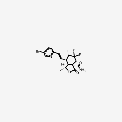 C[C@H]1OC(=O)[C@]2(C(N)=O)CC(F)(F)[C@@H](C)[C@H](/C=C/c3ccc(Br)cn3)[C@H]12